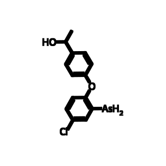 CC(O)c1ccc(Oc2ccc(Cl)cc2[AsH2])cc1